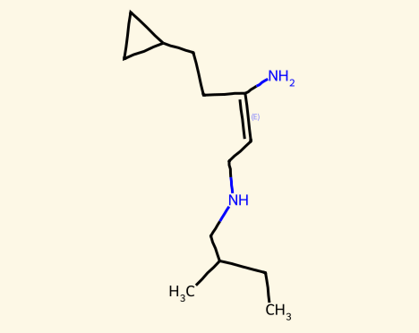 CCC(C)CNC/C=C(/N)CCC1CC1